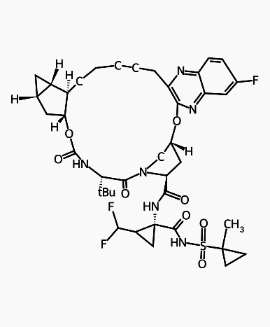 CC(C)(C)[C@@H]1NC(=O)O[C@@H]2C[C@@H]3C[C@@H]3[C@H]2CCCCCc2nc3ccc(F)cc3nc2O[C@@H]2C[C@@H](C(=O)N[C@]3(C(=O)NS(=O)(=O)C4(C)CC4)CC3C(F)F)N(C2)C1=O